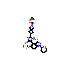 CCn1c(C2CC3(C2)CN(C(=O)OC(C)(C)C)C3)nc(Br)c1-c1c(C)ccc2c1cnn2C1CCCCO1